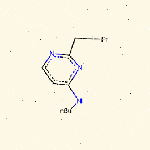 CCCCNc1ccnc(CC(C)C)n1